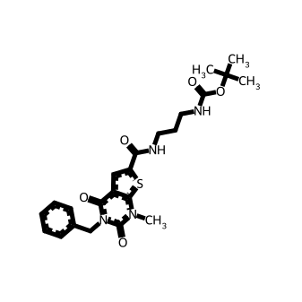 Cn1c(=O)n(Cc2ccccc2)c(=O)c2cc(C(=O)NCCCNC(=O)OC(C)(C)C)sc21